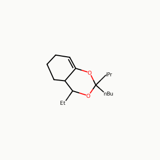 CCCCC1(C(C)C)OC2=CCCCC2C(CC)O1